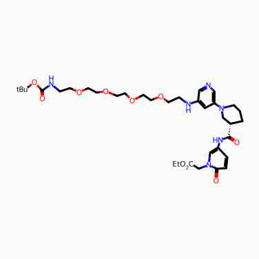 CCOC(=O)Cn1cc(NC(=O)[C@H]2CCCN(c3cncc(NCCOCCOCCOCCOCCNC(=O)OC(C)(C)C)c3)C2)ccc1=O